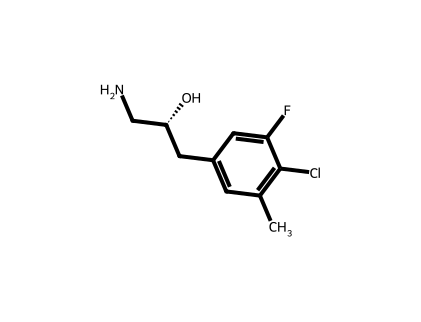 Cc1cc(C[C@@H](O)CN)cc(F)c1Cl